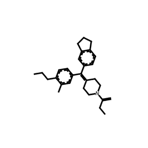 C=C(CC)N1CCC(=C(c2ccc(CCC)c(C)c2)c2ccc3c(c2)CCC3)CC1